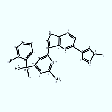 Cn1cc(-c2cnc3[nH]cc(-c4cc([C@](C)(O)c5ccccc5F)nc(N)n4)c3n2)cn1